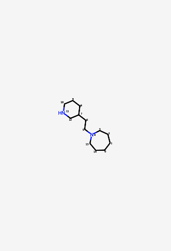 C1CCCN(CCC2CCCNC2)CC1